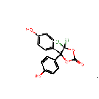 O=C1OC(Cl)(Cl)C(c2ccc(O)cc2)(c2ccc(O)cc2)O1